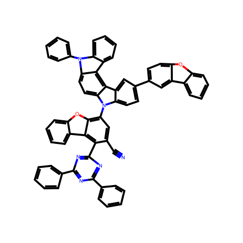 N#Cc1cc(-n2c3ccc(-c4ccc5oc6ccccc6c5c4)cc3c3c4c5ccccc5n(-c5ccccc5)c4ccc32)c2oc3ccccc3c2c1-c1nc(-c2ccccc2)nc(-c2ccccc2)n1